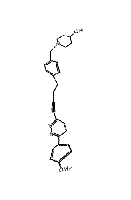 COc1ccc(-c2ccc(C#CCCc3ccc(CN4CCC(O)CC4)cc3)nn2)cc1